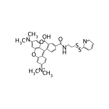 CN(C)c1ccc2c(-c3ccc(C(=O)NCCSSc4ccccn4)cc3C(=O)O)c3ccc(=[N+](C)C)cc-3oc2c1